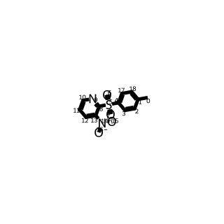 Cc1ccc(S(=O)(=O)c2ncccc2[N+](=O)[O-])cc1